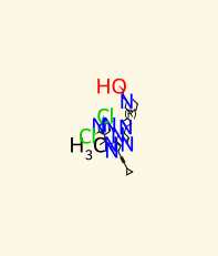 CC(c1cnc(Cl)nc1Cl)n1nc(C#CC2CC2)c2ncc(N3CC([C@H]4CCCN(CCO)C4)C3)nc21